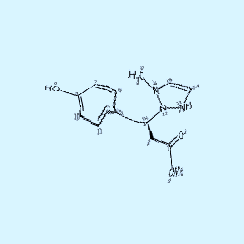 COC(=O)C[C@@H](c1ccc(O)cc1)N1NC=CN1C